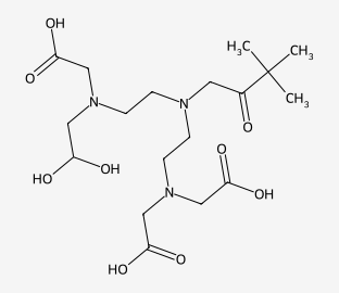 CC(C)(C)C(=O)CN(CCN(CC(=O)O)CC(=O)O)CCN(CC(=O)O)CC(O)O